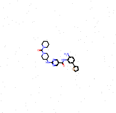 Nc1ccc(-c2cccs2)cc1NC(=O)c1cnc(NC2CCN(C(=O)N3CCCCC3)CC2)nc1